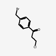 O=C(CCCl)c1ccc(CBr)cc1